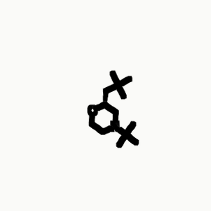 CC(C)(C)C[C@H]1CN(C(C)(C)C)CCO1